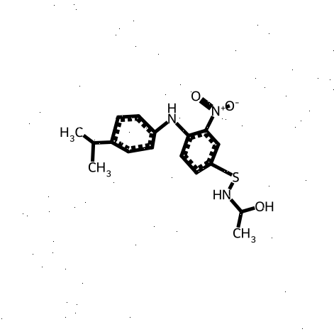 CC(O)NSc1ccc(Nc2ccc(C(C)C)cc2)c([N+](=O)[O-])c1